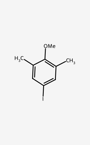 COc1c(C)cc(I)cc1C